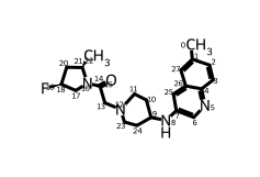 Cc1ccc2ncc(NC3CCN(CC(=O)N4C[C@@H](F)C[C@H]4C)CC3)cc2c1